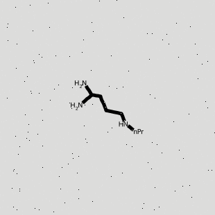 CCCNCCCC(N)N